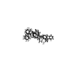 N[C@@H]1c2ccccc2CC12CCN(c1nc3ccc(Sc4cccc(N5CCCC5)c4Cl)c4ncc1n34)CC2